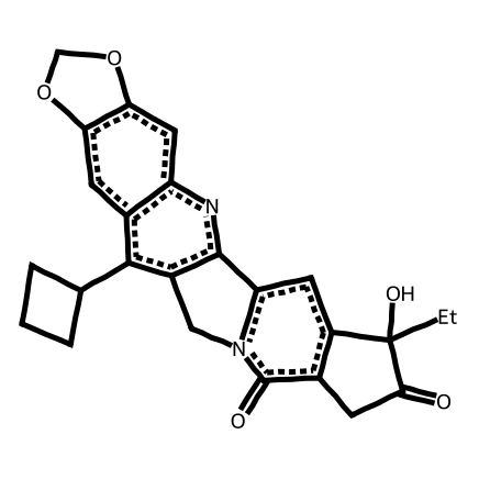 CCC1(O)C(=O)Cc2c1cc1n(c2=O)Cc2c-1nc1cc3c(cc1c2C1CCC1)OCO3